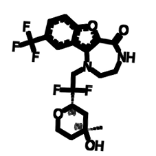 C[C@]1(O)CCO[C@H](C(F)(F)CN2CCNC(=O)c3oc4ccc(C(F)(F)F)cc4c32)C1